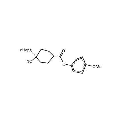 CCCCCCC[C@]1(C#N)CC[C@H](C(=O)Oc2ccc(OC)cc2)CC1